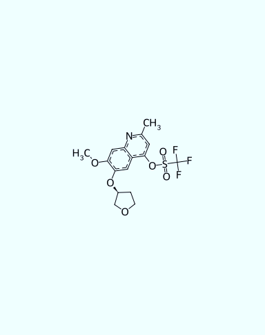 COc1cc2nc(C)cc(OS(=O)(=O)C(F)(F)F)c2cc1O[C@H]1CCOC1